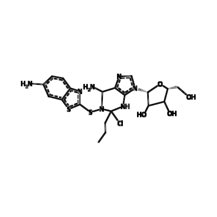 CCCC1(Cl)Nc2c(ncn2[C@@H]2O[C@H](CO)C(O)C2O)C(N)N1Sc1nc2ccc(N)cc2s1